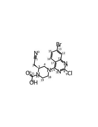 N#CC[C@H]1CN(c2nc(Cl)nc3cc(Br)ccc23)CCN1C(=O)O